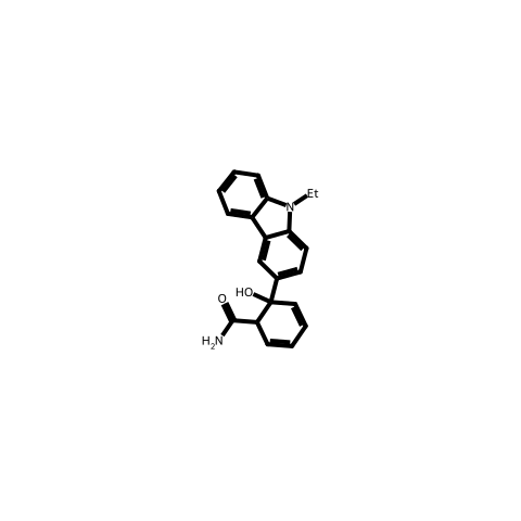 CCn1c2ccccc2c2cc(C3(O)C=CC=CC3C(N)=O)ccc21